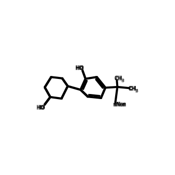 CCCCCCCCCC(C)(C)c1ccc(C2CCCC(O)C2)c(O)c1